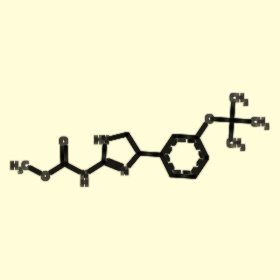 COC(=O)NC1=NC(c2cccc(OC(C)(C)C)c2)CN1